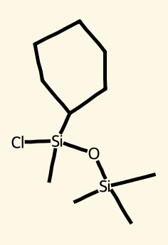 C[Si](C)(C)O[Si](C)(Cl)C1CCCCC1